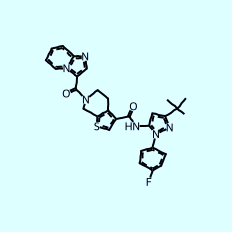 CC(C)(C)c1cc(NC(=O)c2csc3c2CCN(C(=O)c2cnc4ccccn24)C3)n(-c2ccc(F)cc2)n1